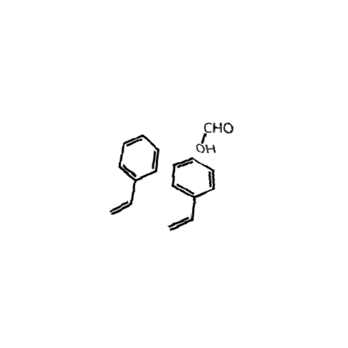 C=Cc1ccccc1.C=Cc1ccccc1.O=CO